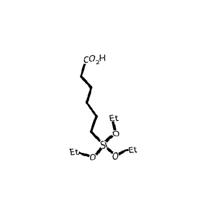 CCO[Si](CCCCCC(=O)O)(OCC)OCC